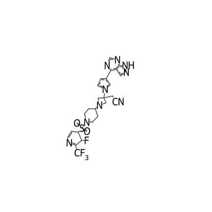 N#CCC1(n2ccc(-c3ncnc4[nH]ncc34)c2)CN(C2CCN(S(=O)(=O)C3C=CN=C(C(F)(F)F)C3F)CC2)C1